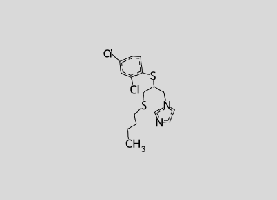 CCCCSCC(Cn1ccnc1)Sc1ccc(Cl)cc1Cl